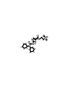 CS(=O)(=O)CCNC(=O)c1cnc(NC(=O)N(C2CCCCC2)C2CCCCC2)s1